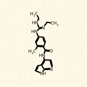 CCN=C(NCC)Nc1ccc(C(=O)Nc2ccnc3[nH]ccc23)c(C)c1